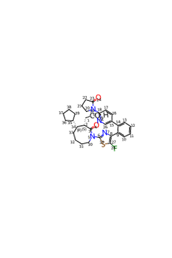 O=C(O)C[C@@H]1C(=O)N(c2nc(-c3ccccc3-c3ccc(N4CCCC4=O)nc3)c(F)s2)CCCC[C@@H]1C1CCCC1